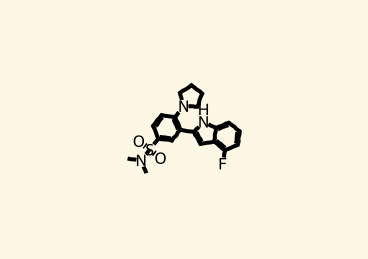 CN(C)S(=O)(=O)c1ccc(N2CCCC2)c(-c2cc3c(F)cccc3[nH]2)c1